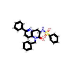 O=C1[C@H](NS(=O)(=O)c2ccccc2)Cc2nc(-c3ccccc3)ccc2N1Cc1ccccc1